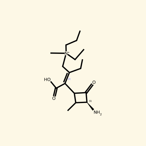 CCC[N+](C)(CC)C/C(CC)=C(\C(=O)O)C1C(=O)[C@@H](N)C1C